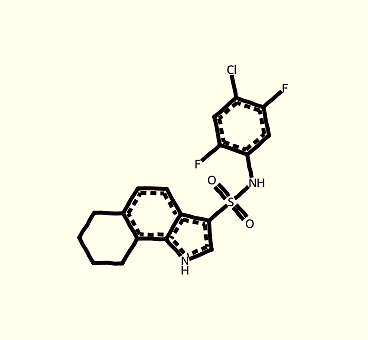 O=S(=O)(Nc1cc(F)c(Cl)cc1F)c1c[nH]c2c3c(ccc12)CCCC3